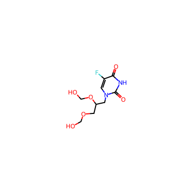 O=c1[nH]c(=O)n(CC(COCO)OCO)cc1F